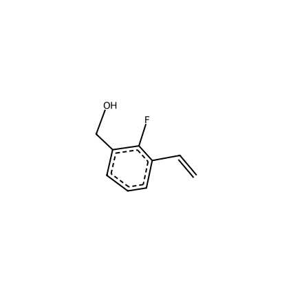 C=Cc1cccc(CO)c1F